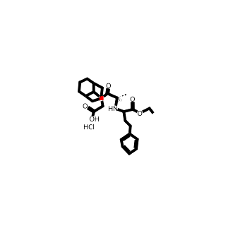 CCOC(=O)C(CCc1ccccc1)N[C@@H](C)C(=O)N(CC(=O)O)C1C2CCCC1CCC2.Cl